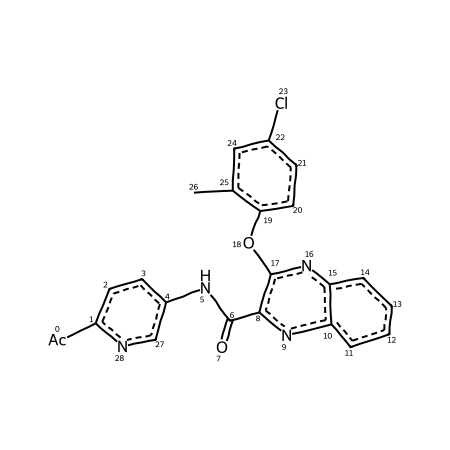 CC(=O)c1ccc(NC(=O)c2nc3ccccc3nc2Oc2ccc(Cl)cc2C)cn1